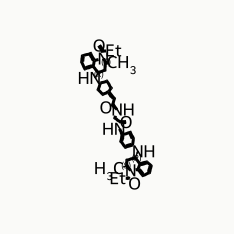 CCC(=O)N1c2ccccc2[C@H](Nc2ccc(NC(=O)CNC(=O)C=C3CCC(N[C@@H]4C[C@H](C)N(C(=O)CC)c5ccccc54)CC3)cc2)C[C@@H]1C